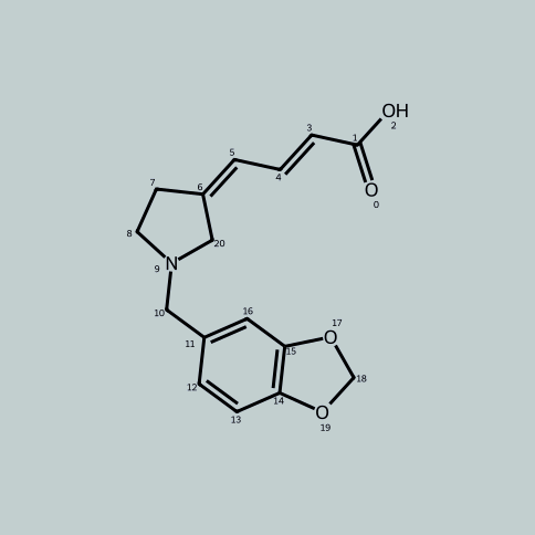 O=C(O)C=CC=C1CCN(Cc2ccc3c(c2)OCO3)C1